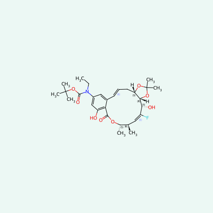 CCN(C(=O)OC(C)(C)C)c1cc(O)c2c(c1)/C=C/C[C@@H]1OC(C)(C)O[C@@H]1[C@H](O)/C(F)=C\[C@@H](C)[C@H](C)OC2=O